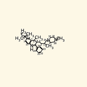 CC(CCC1C(C)c2cc(C(C)(C)C)ccc2NC1c1ccccc1)CN1CCN(C)CC1